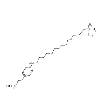 C[Si](C)(C)CCCCCCCCCCCCCCNc1ccc(C=CC(=O)O)cc1